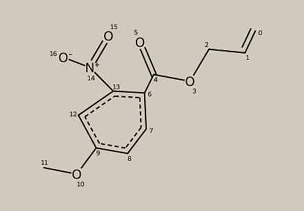 C=CCOC(=O)c1ccc(OC)cc1[N+](=O)[O-]